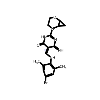 Cc1cc(Br)cc(C)c1N/C=C1\C(=N)N=C(N2CCOC3CC32)NC1=O